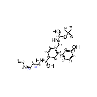 C=C/N=C\C=C\NC(O)C1C=CC(CNC(O)OC(C)(C)C)=C(c2cccc(O)c2)C1